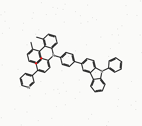 Cc1ccccc1-c1c(C)cccc1N(c1ccc(-c2cccnc2)cc1)c1ccc(-c2ccc3c(c2)c2ccccc2n3-c2ccccc2)cc1